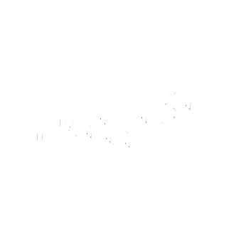 CC(C)(O)c1ccc(Nc2ncnc3c2CCN(c2ccc([N+](=O)[O-])c(Br)c2)C3)nc1